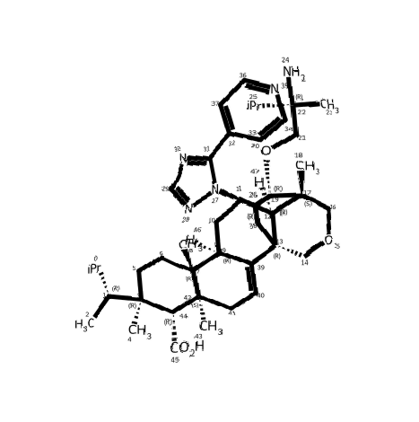 CC(C)[C@@H](C)[C@@]1(C)CC[C@]2(C)[C@H]3CC[C@@H]4[C@@]5(COC[C@@]4(C)[C@@H](OC[C@](C)(N)C(C)C)[C@H](n4ncnc4-c4ccncc4)C5)C3=CC[C@@]2(C)[C@@H]1C(=O)O